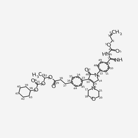 C=CCOC(=O)NC(=N)c1ccc(N2CC(N3CCOCC3)=C(c3ccc(CCC(=O)OC(C)OC(=O)OC4CCCCC4)cc3)C2=O)cc1